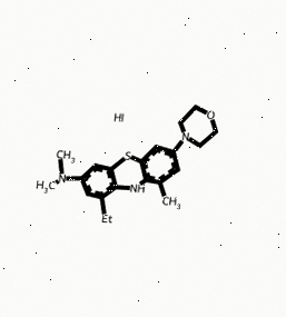 CCc1cc(N(C)C)cc2c1Nc1c(C)cc(N3CCOCC3)cc1S2.I